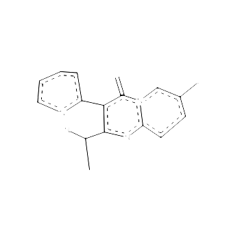 CC(N)c1nc2ccc(F)cn2c(=O)c1-c1ccccn1